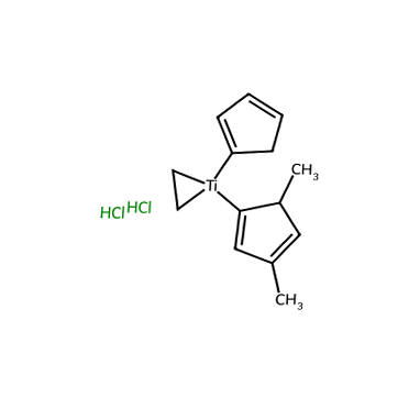 CC1=CC(C)[C]([Ti]2([C]3=CC=CC3)[CH2][CH2]2)=C1.Cl.Cl